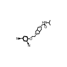 CC(C)NC(=O)CN1CC2CN(CCOc3ccc(C#N)cc3C#N)CC2C1